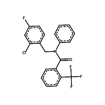 O=C(c1ccccc1C(F)(F)F)N(Cc1ccc(F)cc1Cl)c1ccccc1